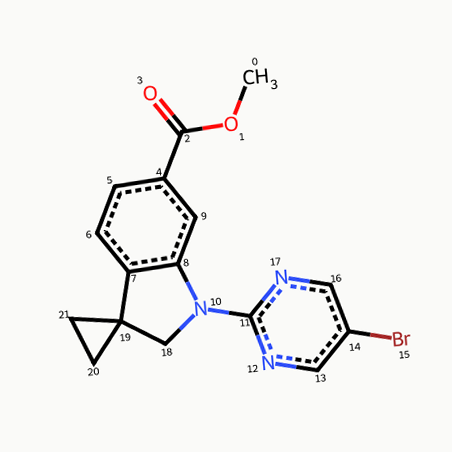 COC(=O)c1ccc2c(c1)N(c1ncc(Br)cn1)CC21CC1